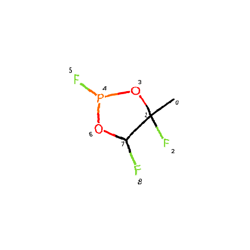 CC1(F)OP(F)OC1F